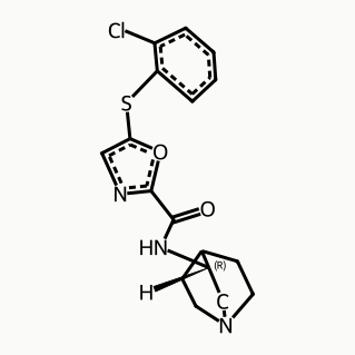 O=C(N[C@H]1CN2CCC1CC2)c1ncc(Sc2ccccc2Cl)o1